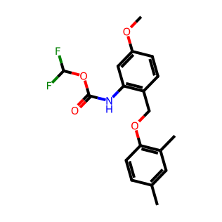 COc1ccc(COc2ccc(C)cc2C)c(NC(=O)OC(F)F)c1